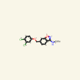 CSNc1noc2cc(COc3ccc(Cl)c(Cl)c3)ccc12